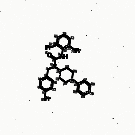 CC(C)c1ccc(CN(C(=O)Nc2c(C(C)C)cccc2C(C)C)C2CCC(c3ccccc3)CC2)cc1